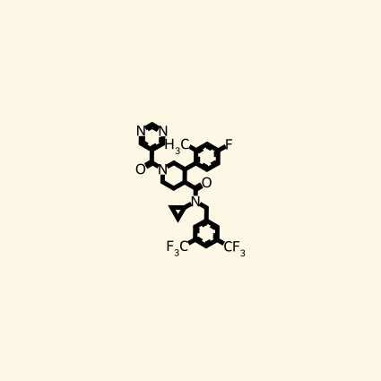 Cc1cc(F)ccc1C1CN(C(=O)c2cncnc2)CCC1C(=O)N(Cc1cc(C(F)(F)F)cc(C(F)(F)F)c1)C1CC1